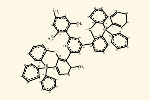 Cc1cc(C)c(-c2nc(C3=C4Oc5ccccc5[Si](c5ccccc5)(c5ccccc5)C4=CCC3C)cc(-c3cccc4c3Oc3ccccc3[Si]4(C3=CCCC=C3)c3ccccc3)n2)c(C)c1